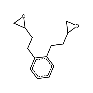 c1ccc(CCC2CO2)c(CCC2CO2)c1